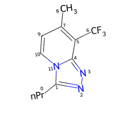 CCCc1nnc2c(C(F)(F)F)c(C)ccn12